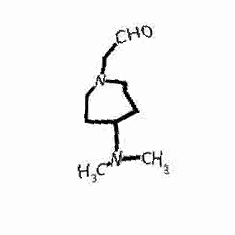 CN(C)C1CCN(CC=O)CC1